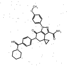 COc1ccc(-n2nc(C(N)=O)c3c2C(=O)N(c2ccc(C(=N)N4CCCCC4)cc2)CC32CC2)cc1